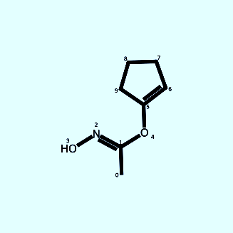 CC(=NO)OC1=CCCC1